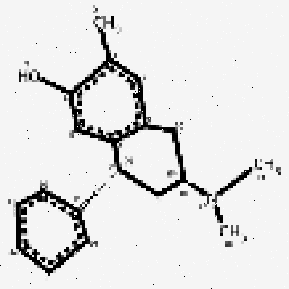 Cc1cc2c(cc1O)[C@@H](c1ccccc1)C[C@H](N(C)C)C2